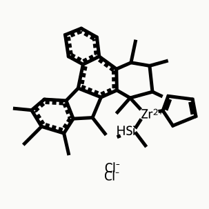 Cc1cc2c(c(C)c1C)C(C)c1c3c(c4ccccc4c1-2)C(C)C(C)C(C)[C]3(C)[Zr+2]([C]1=CC=CC1)[SiH](C)C.[Cl-].[Cl-]